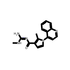 CN/C(N)=N\C(=O)c1ccn(-c2ccnc3ccccc23)c1C